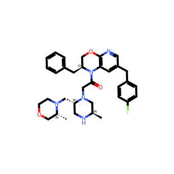 C[C@@H]1CN(CC(=O)N2c3cc(Cc4ccc(F)cc4)cnc3OC[C@@H]2Cc2ccccc2)[C@@H](CN2CCOC[C@H]2C)CN1